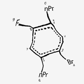 CCCc1cc(Br)c(CCC)cc1F